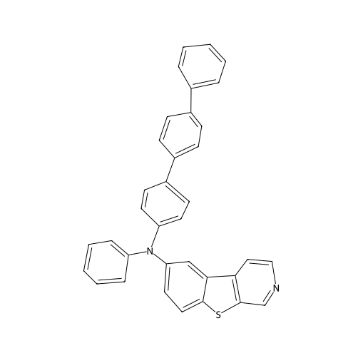 c1ccc(-c2ccc(-c3ccc(N(c4ccccc4)c4ccc5sc6cnccc6c5c4)cc3)cc2)cc1